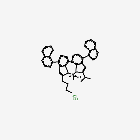 CCCCC1=Cc2c(-c3cccc4ccccc34)ccc(C)c2[CH]1[Zr]([CH3])([CH3])(=[SiH2])[CH]1C(C(C)C)=Cc2c(-c3cccc4ccccc34)cccc21.Cl.Cl